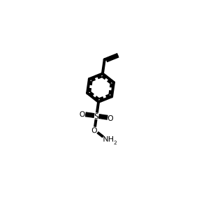 C=Cc1ccc(S(=O)(=O)ON)cc1